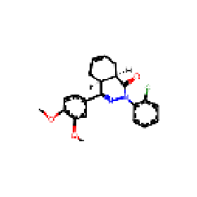 COc1ccc(C2=NN(c3ccccc3Cl)C(=O)[C@@H]3CC=CC[C@H]23)cc1OC